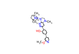 COc1cc(-c2ccc(-c3cc4c(nn3)N([C@H]3C[C@]5(C)CC[C@](C)(C3)N5)CCN4C)c(O)c2)ccn1